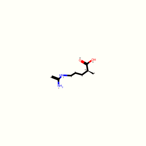 C=C(N)NCCC[C@H](C)C(=O)O